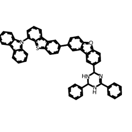 c1ccc(C2=NC(c3ccc4oc5ccc(-c6ccc7sc8c(-n9c%10ccccc%10c%10ccccc%109)cccc8c7c6)cc5c4c3)NC(c3ccccc3)N2)cc1